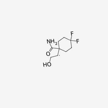 NC(=O)C1([CH]CO)CCC(F)(F)CC1